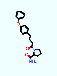 NC(=O)C1CCCN1C(=O)CCCc1ccc(Oc2ccccc2)cc1